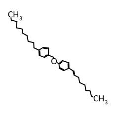 CCCCCCC/C=C/c1ccc(OCc2ccc(CCCCCCCCCC)cc2)cc1